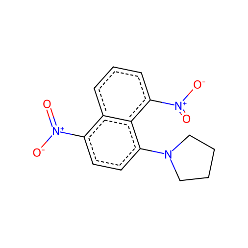 O=[N+]([O-])c1ccc(N2CCCC2)c2c([N+](=O)[O-])cccc12